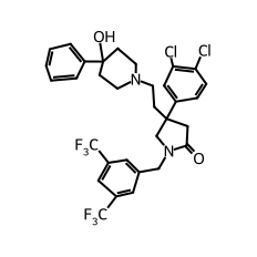 O=C1CC(CCN2CCC(O)(c3ccccc3)CC2)(c2ccc(Cl)c(Cl)c2)CN1Cc1cc(C(F)(F)F)cc(C(F)(F)F)c1